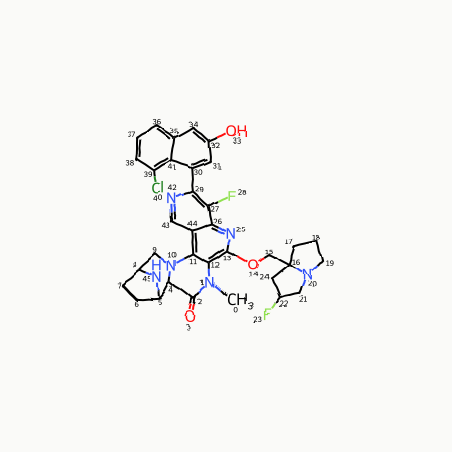 CN1C(=O)C2C3CCC(CN2c2c1c(OCC14CCCN1CC(F)C4)nc1c(F)c(-c4cc(O)cc5cccc(Cl)c45)ncc21)N3